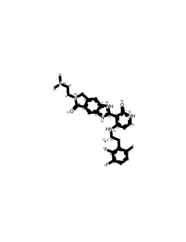 Cc1ccc(F)c(F)c1C[C@H](C)Nc1cc[nH]c(=O)c1-c1nc2cc3c(cc2[nH]1)CN(CCN(C)C)C3=O